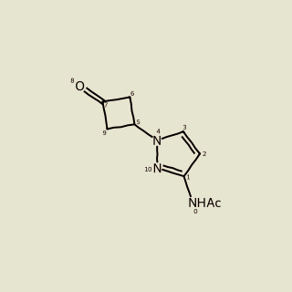 CC(=O)Nc1ccn(C2CC(=O)C2)n1